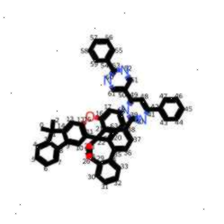 CC1(C)c2ccccc2-c2cc3c(cc21)Oc1ccccc1C31c2ccccc2-c2ccccc2-c2ccc(-c3nc(-c4ccccc4)cc(-c4cnc(-c5ccccc5)nc4)n3)cc21